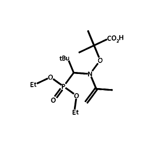 C=C(C)N(OC(C)(C)C(=O)O)C(C(C)(C)C)P(=O)(OCC)OCC